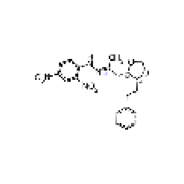 C/C(C[C@@H]1OCO[C@H]1CCc1ccccc1)=N\Nc1ccc([N+](=O)[O-])cc1[N+](=O)[O-]